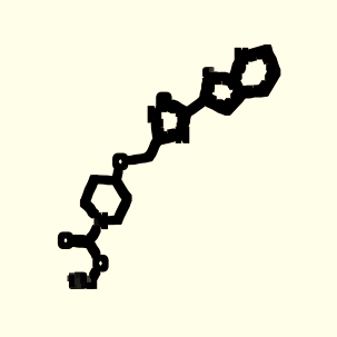 CC(C)(C)OC(=O)N1CCC(OCc2noc(-c3cc4cccnc4s3)n2)CC1